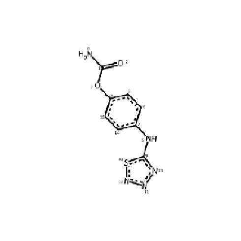 NC(=O)Oc1ccc(Nc2nnns2)cc1